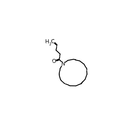 C=CCCC(=O)N1CCCCCCCCCCCCCC1